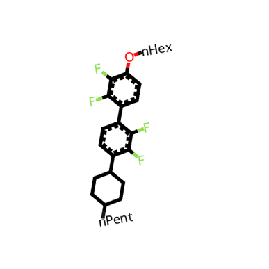 CCCCCCOc1ccc(-c2ccc(C3CCC(CCCCC)CC3)c(F)c2F)c(F)c1F